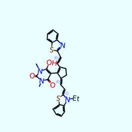 CCN1/C(=C/C=C2\CCC(/C=C/c3nc4ccccc4s3)=C2c2c(O)n(C)c(=O)n(C)c2=O)Sc2ccccc21